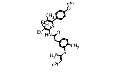 CCC/C=C(\N)Sc1cc(CC(=O)N/C(S/C(=C(/C)CC)c2ccc(OCCC)cc2)=C(/C)CC)ccc1C